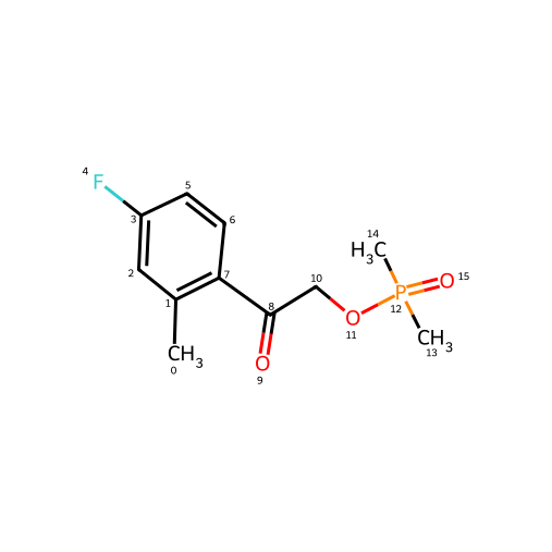 Cc1cc(F)ccc1C(=O)COP(C)(C)=O